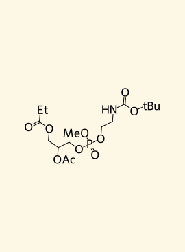 CCC(=O)OCC(COP(=O)(OC)OCCNC(=O)OC(C)(C)C)OC(C)=O